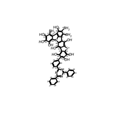 Bc1c(B)c2c3c(O)c4sc5c(O)c(O)c(-c6cccc(-c7nc(-c8ccccc8)nc(-c8ccccc8)n7)c6)c(O)c5c4c(O)c3n3c4c(O)c(O)c(O)c(B)c4c(c1O)c23